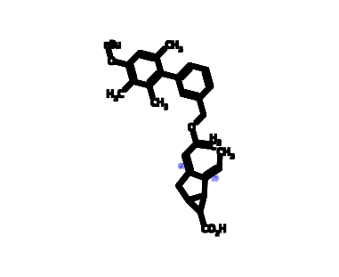 C=C(/C=C1/CC2C(C(=O)O)C2/C1=C/C)OCc1cccc(-c2c(C)cc(OCCCC)c(C)c2C)c1